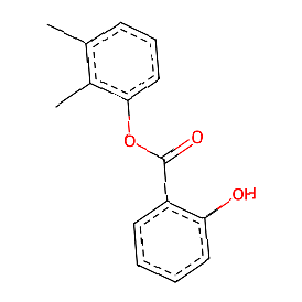 Cc1cccc(OC(=O)c2ccccc2O)c1C